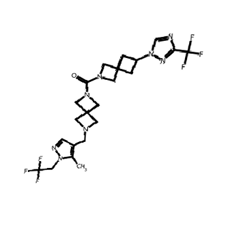 Cc1c(CN2CC3(C2)CN(C(=O)N2CC4(CC(n5cnc(C(F)(F)F)n5)C4)C2)C3)cnn1CC(F)(F)F